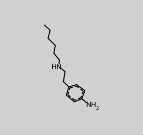 CCCCCCNCCc1ccc(N)cc1